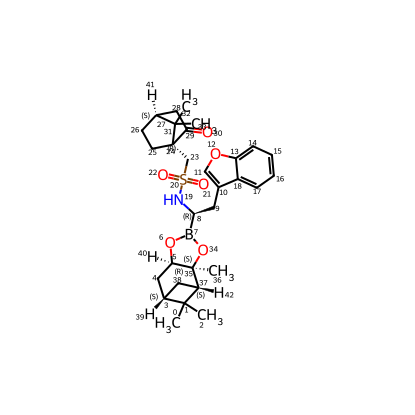 CC1(C)[C@@H]2C[C@H]3OB([C@H](Cc4coc5ccccc45)NS(=O)(=O)C[C@@]45CC[C@@H](CC4=O)C5(C)C)O[C@@]3(C)[C@H]1C2